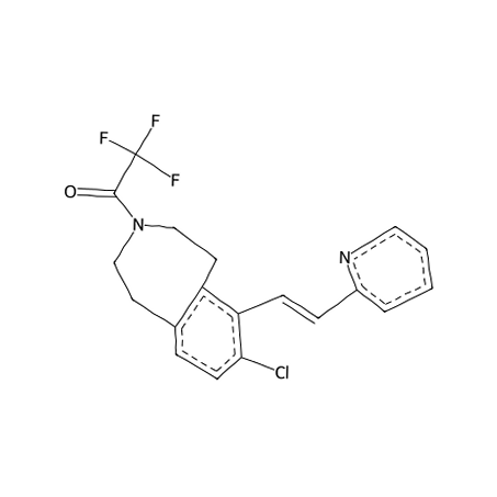 O=C(N1CCc2ccc(Cl)c(C=Cc3ccccn3)c2CC1)C(F)(F)F